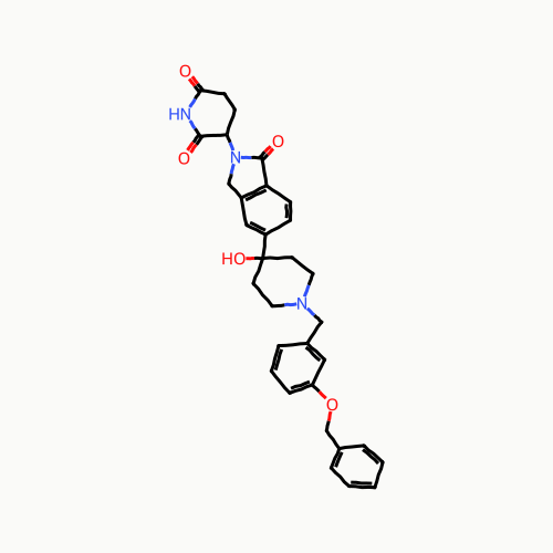 O=C1CCC(N2Cc3cc(C4(O)CCN(Cc5cccc(OCc6ccccc6)c5)CC4)ccc3C2=O)C(=O)N1